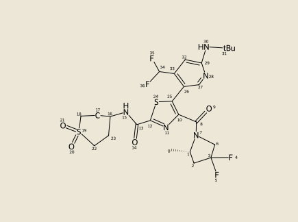 C[C@H]1CC(F)(F)CN1C(=O)c1nc(C(=O)NC2CCS(=O)(=O)CC2)sc1-c1cnc(NC(C)(C)C)cc1C(F)F